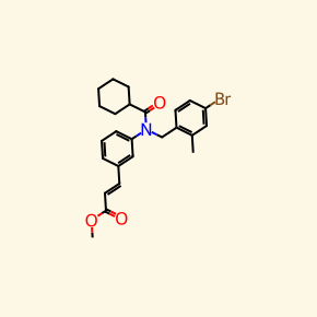 COC(=O)/C=C/c1cccc(N(Cc2ccc(Br)cc2C)C(=O)C2CCCCC2)c1